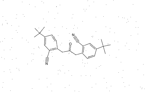 CC(C)(C)c1ccc(CC(=O)Cc2ccc(C(C)(C)C)cc2C#N)c(C#N)c1